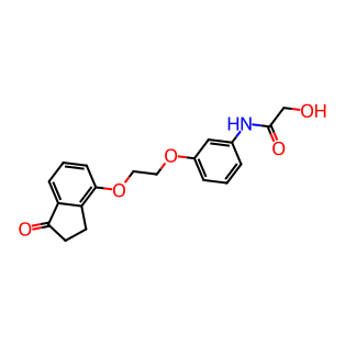 O=C(CO)Nc1cccc(OCCOc2cccc3c2CCC3=O)c1